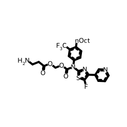 CCCCCCCCc1ccc(N(C(=O)OCOC(=O)CCN)c2nc(-c3cccnc3)c(F)s2)cc1C(F)(F)F